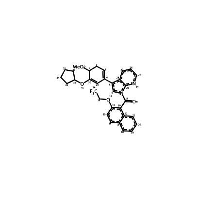 COC1CC=C(c2cn(C(=O)c3c(OCC(F)(F)F)ccc4ccccc34)c3ncccc23)C=C1OC1CCCC1